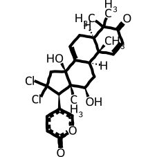 CC1(C)C(=O)C=C[C@]2(C)[C@H]3C[C@@H](O)[C@]4(C)[C@@H](c5ccc(=O)oc5)C(Cl)(Cl)C[C@]4(O)C3=CC[C@@H]12